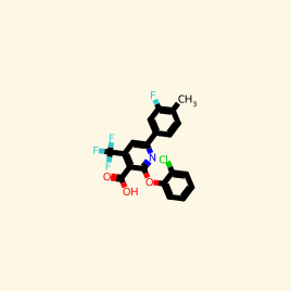 Cc1ccc(-c2cc(C(F)(F)F)c(C(=O)O)c(Oc3ccccc3Cl)n2)cc1F